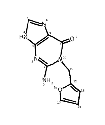 Nc1nc2[nH]cnc2c(=O)n1Cc1ccco1